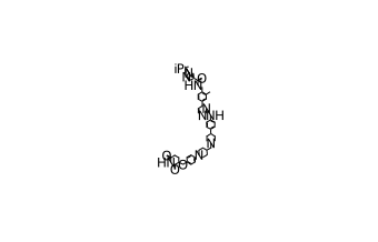 Cc1cc(-c2ccnc(Nc3ccc(C4CCN(CC5CCN(c6ccc(OC7CCC(=O)NC7=O)cc6)CC5)CC4)cc3)n2)ccc1CNC(=O)c1cnn(C(C)C)c1